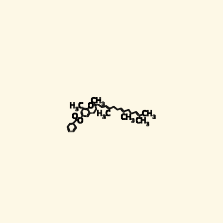 CC(C)=CCC/C(C)=C/CC/C(C)=C/CC[C@]1(C)CCc2cc(OC(=O)c3ccccc3)cc(C)c2O1